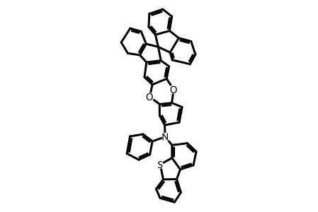 C1=CC2=C(CC1)c1cc3c(cc1C21c2ccccc2-c2ccccc21)Oc1ccc(N(c2ccccc2)c2cccc4c2sc2ccccc24)cc1O3